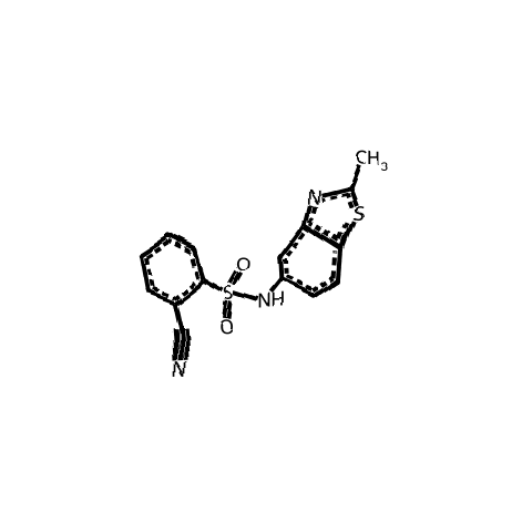 Cc1nc2cc(NS(=O)(=O)c3ccccc3C#N)ccc2s1